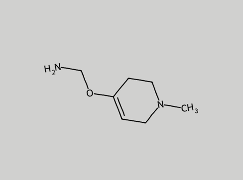 CN1CC=C(OCN)CC1